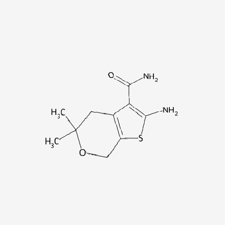 CC1(C)Cc2c(sc(N)c2C(N)=O)CO1